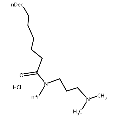 CCCCCCCCCCCCCCCC(=O)N(CCC)CCCN(C)C.Cl